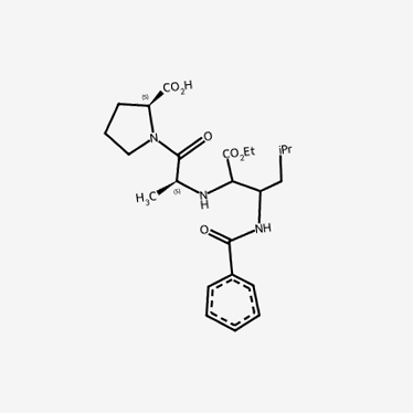 CCOC(=O)C(N[C@@H](C)C(=O)N1CCC[C@H]1C(=O)O)C(CC(C)C)NC(=O)c1ccccc1